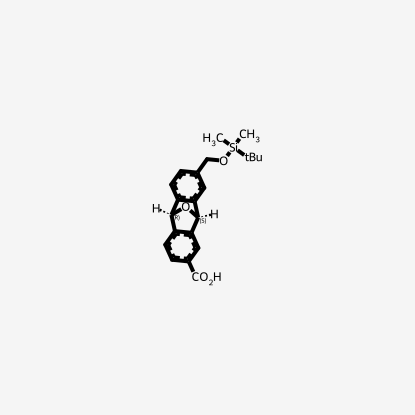 CC(C)(C)[Si](C)(C)OCc1ccc2c(c1)[C@@H]1O[C@H]2c2ccc(C(=O)O)cc21